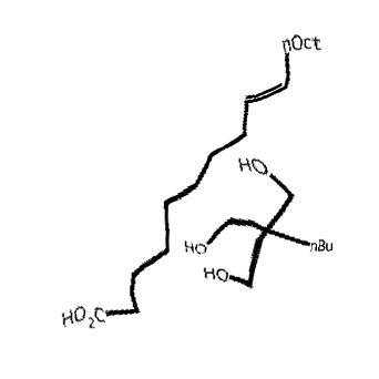 CCCCC(CO)(CO)CO.CCCCCCCCC=CCCCCCCCC(=O)O